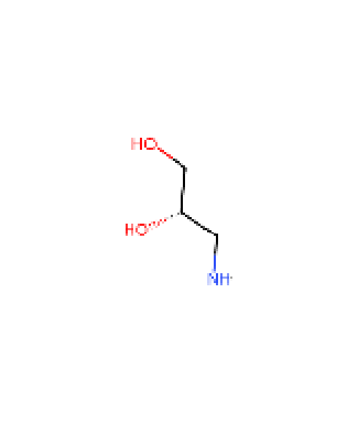 [NH]C[C@H](O)CO